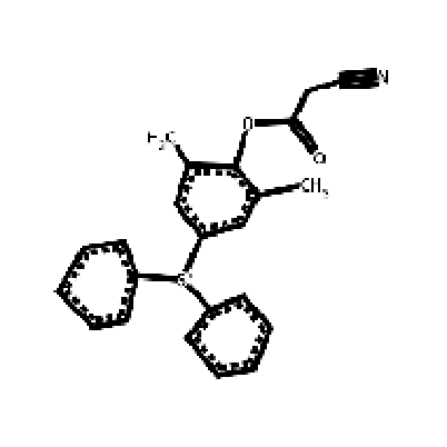 Cc1cc([S+](c2ccccc2)c2ccccc2)cc(C)c1OC(=O)CC#N